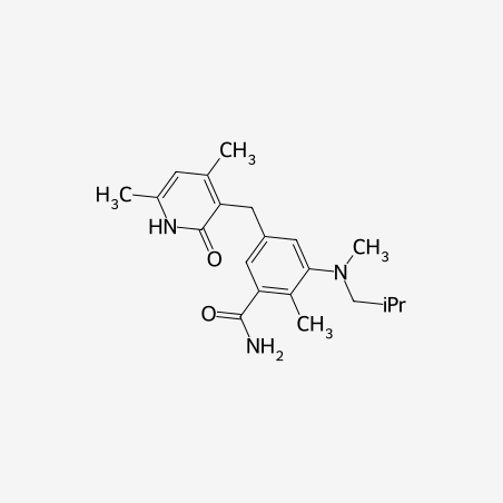 Cc1cc(C)c(Cc2cc(C(N)=O)c(C)c(N(C)CC(C)C)c2)c(=O)[nH]1